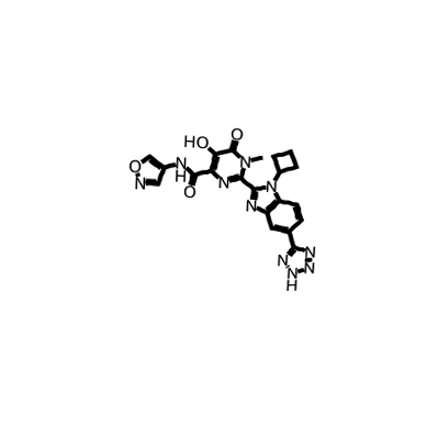 Cn1c(-c2nc3cc(-c4nn[nH]n4)ccc3n2C2CCC2)nc(C(=O)Nc2cnoc2)c(O)c1=O